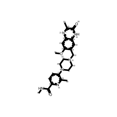 CNC(=O)c1ccc(N2CCN(Cc3cc4[nH]c(=O)c(C)nc4cc3OC)CC2)c(C)n1